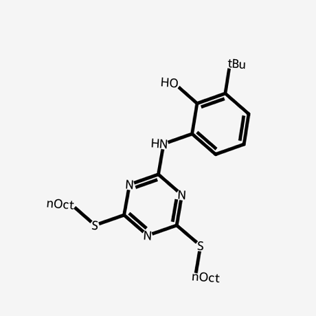 CCCCCCCCSc1nc(Nc2cccc(C(C)(C)C)c2O)nc(SCCCCCCCC)n1